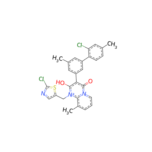 Cc1cc(-c2ccc(C)cc2Cl)cc(-c2c(O)[n+](Cc3cnc(Cl)s3)c3c(C)cccn3c2=O)c1